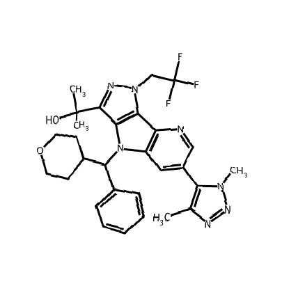 Cc1nnn(C)c1-c1cnc2c3c(c(C(C)(C)O)nn3CC(F)(F)F)n(C(c3ccccc3)C3CCOCC3)c2c1